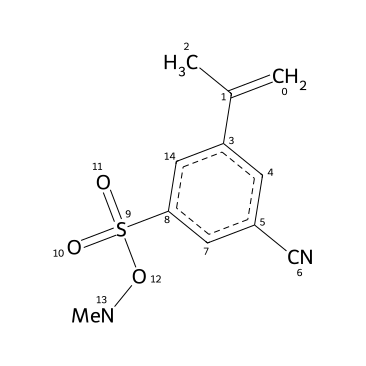 C=C(C)c1cc(C#N)cc(S(=O)(=O)ONC)c1